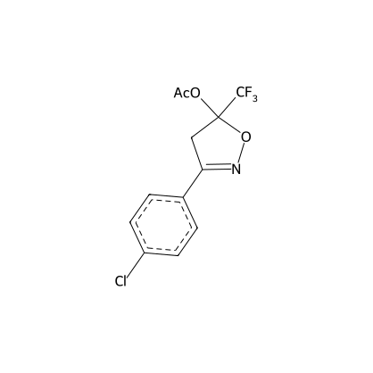 CC(=O)OC1(C(F)(F)F)CC(c2ccc(Cl)cc2)=NO1